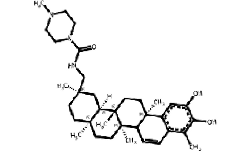 Cc1c(O)c(O)cc2c1C=CC1[C@@]2(C)CC[C@@]2(C)[C@@H]3C[C@](C)(CNC(=O)N4CCN(C)CC4)CC[C@]3(C)CC[C@]12C